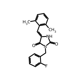 Cc1cccc(C)c1C=C1NC(=O)N(Cc2ccccc2F)C1=O